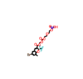 Cc1cc(Br)cc2c1O[C@H](C(F)(F)F)C(C(=O)OCOC(=O)OCCOCCO[N+](=O)O)=C2